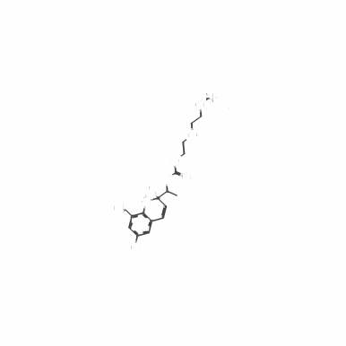 CC(OC(=O)OCCOCCO[N+](=O)[O-])[C@]1(C(F)(F)F)C=Cc2cc(Cl)cc(Cl)c2O1